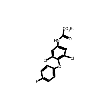 CCOC(=O)C(=O)Nc1cc(Cl)c(Oc2ccc(F)cc2)c(Cl)c1